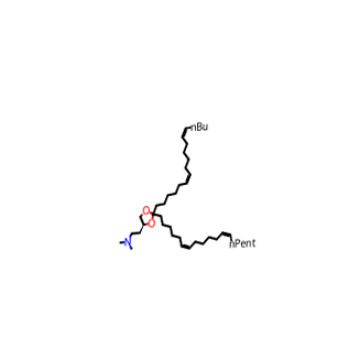 CCCC/C=C\CCCC/C=C\CCCCCC1(CCCCC/C=C\CCCC/C=C\CCCCC)OC[C@H](CCN(C)C)O1